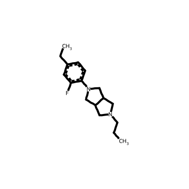 CCCN1CC2CN(c3ccc(CC)cc3F)CC2C1